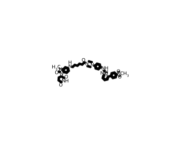 Cn1c(=O)n(C2CCC(=O)NC2=O)c2ccc(NCCCCCC(=O)N3CCN(c4ccc(Nc5nc6cccc(-c7ccc(S(C)(=O)=O)cc7)n6n5)cc4)CC3)cc21